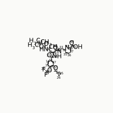 CC(NC(=O)OC(C)(C)C)c1oc(-c2ccc(OC(F)F)c(OCC3CC3)c2)nc1C(=O)NCc1cccc(C(=O)O)n1